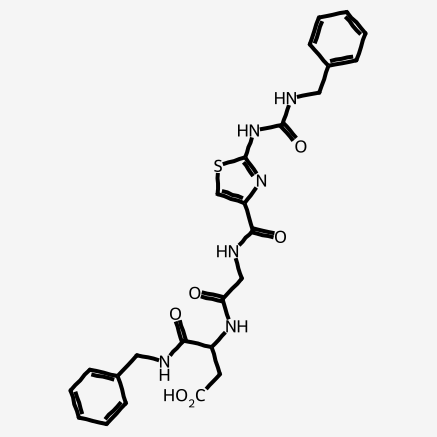 O=C(O)CC(NC(=O)CNC(=O)c1csc(NC(=O)NCc2ccccc2)n1)C(=O)NCc1ccccc1